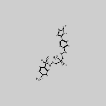 CCn1nnc(-c2ccc(OCCC(C)(C)CCOS(=O)(=O)c3ccc(C)cc3)cc2)n1